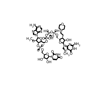 CO[C@@H]1[C@H](OP(=O)([O-])OC[C@H]2O[C@@H](n3ccc(=O)[nH]c3=O)[C@H](O)[C@@H]2O)C(COP(=O)(O)OP(=O)(O)OP(=O)(O)OC[C@H]2OC(n3c[n+](C)c4c(=O)[nH]c(N)nc43)[C@H](O)[C@@H]2CCN2CCOCC2)O[C@H]1n1cnc2c(N)ncnc21